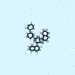 c1ccc(-c2cccc(-c3nc(-c4cccc5ccccc45)c4sc5ccc6ccccc6c5c4n3)c2)cc1